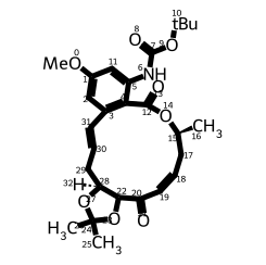 COc1cc2c(c(NC(=O)OC(C)(C)C)c1)C(=O)O[C@@H](C)C/C=C\C(=O)C1OC(C)(C)O[C@H]1C/C=C/2